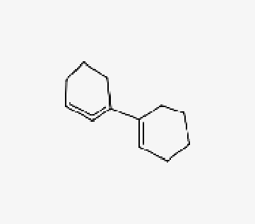 C1=CCCCC=1C1=CCCCC1